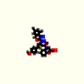 COc1ccc(-c2cc(NC(=O)Nc3c(C)cc(C)cc3C)c(C(=O)N(CC(=O)O)C3CCCCC3)s2)cc1